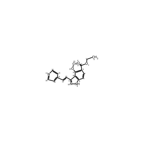 CCOC(=O)c1ccc2[nH]nc(C=Cc3ccncc3)c2c1OC